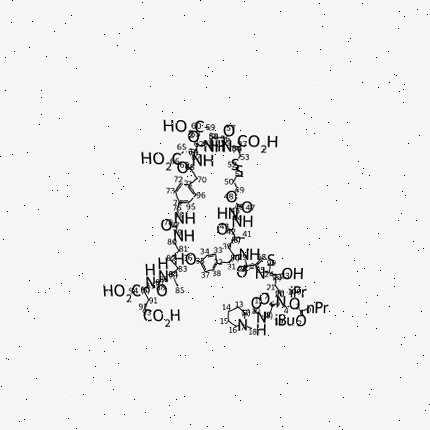 CCCC(=O)OCN(C(=O)[C@@H](NC(=O)[C@H]1CCCCN1C)C(C)CC)[C@H](C[C@@H](O)c1nc(C(=O)N[C@@H](Cc2ccc(O)cc2)C[C@H](C)C(=O)NNC(=O)OCCSSC[C@H](NC(=O)[C@@H](CC(=O)O)NC(=O)[C@@H](CC(=O)O)NC(=O)Cc2ccc(CNC(=O)NCCCC[C@@H](C)NC(=O)N[C@@H](CCC(=O)O)C(=O)O)cc2)C(=O)O)cs1)C(C)C